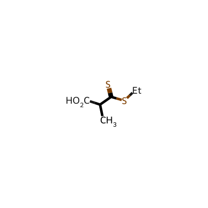 CCSC(=S)C(C)C(=O)O